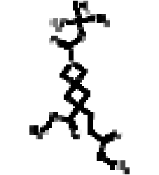 COC(=O)CCC1(C(=O)OC)CC2(CN(C(=O)OC(C)(C)C)C2)C1